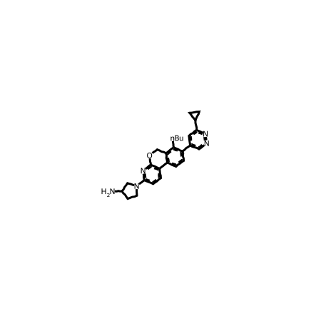 CCCCc1c(-c2cnnc(C3CC3)c2)ccc2c1COc1nc(N3CCC(N)C3)ccc1-2